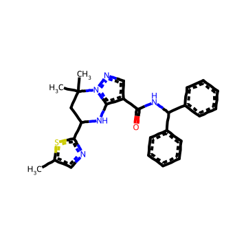 Cc1cnc(C2CC(C)(C)n3ncc(C(=O)NC(c4ccccc4)c4ccccc4)c3N2)s1